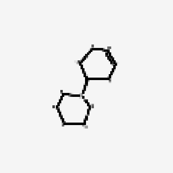 C1=CCC(N2CCCCC2)CC1